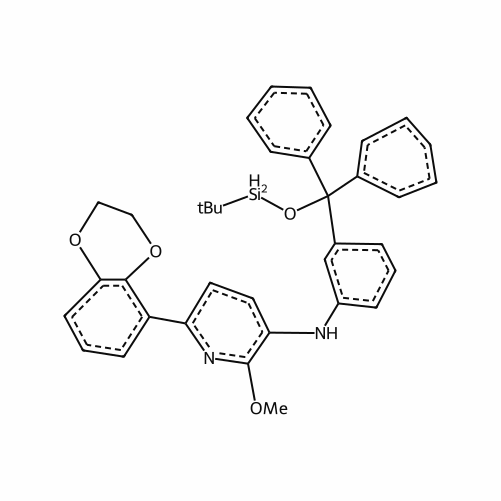 COc1nc(-c2cccc3c2OCCO3)ccc1Nc1cccc(C(O[SiH2]C(C)(C)C)(c2ccccc2)c2ccccc2)c1